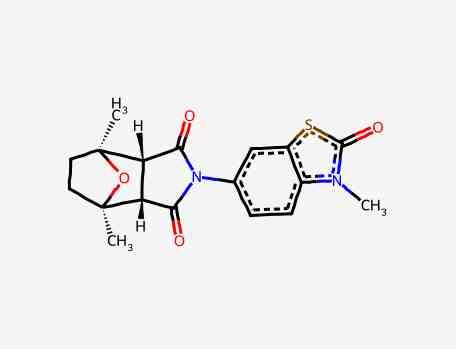 Cn1c(=O)sc2cc(N3C(=O)[C@@H]4[C@H](C3=O)[C@@]3(C)CC[C@]4(C)O3)ccc21